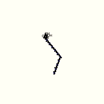 C/C=C(\C)CC/C=C(\C)CC/C=C(\C)CC/C=C(\C)CC/C(C)=C\CC/C(C)=C/CC/C(C)=C/CC/C(C)=C/CC/C(C)=C/CC/C(C)=C/CC1=C(C)C(=O)C(CO)=C(CO)C1=O